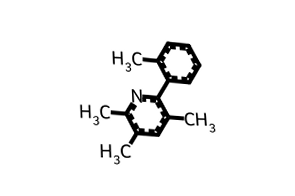 Cc1ccccc1-c1nc(C)c(C)cc1C